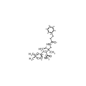 C=CC(C)(CNC(=O)CCc1ccccc1)C(CC(=O)OC(C)(C)C)C(N)=O